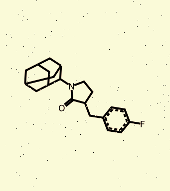 O=C1C(Cc2ccc(F)cc2)CCN1C1C2CC3CC(C2)CC1C3